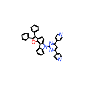 c1ccc(-c2oc3c(ccc4c3c3ccccc3n4-c3nc(-c4ccncc4)cc(-c4ccncc4)n3)c2-c2ccccc2)cc1